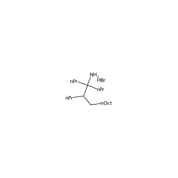 Br.CCCCCCCCCC(CCC)C(N)(CCC)CCC